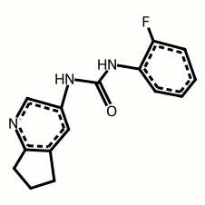 O=C(Nc1cnc2c(c1)CCC2)Nc1ccccc1F